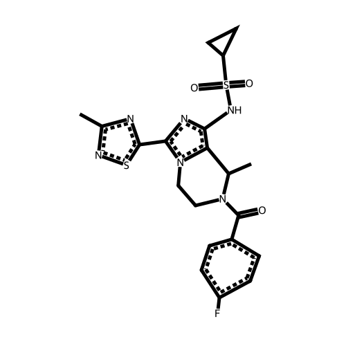 Cc1nsc(-c2nc(NS(=O)(=O)C3CC3)c3n2CCN(C(=O)c2ccc(F)cc2)C3C)n1